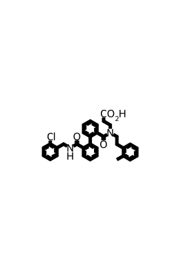 Cc1ccccc1CCN(CCC(=O)O)C(=O)c1ccccc1-c1ccccc1C(=O)NCc1ccccc1Cl